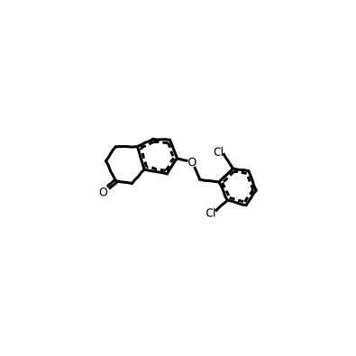 O=C1CCc2ccc(OCc3c(Cl)cccc3Cl)cc2C1